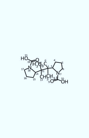 CC(C)(C1CCCN1C(=O)O)C(C)(C)C1CCCN1C(=O)O